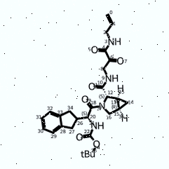 C=CCNC(=O)C(=O)CNC(=O)[C@@H]1[C@H]2C[C@H]2CN1C(=O)[C@@H](NC(=O)OC(C)(C)C)C1Cc2ccccc2C1